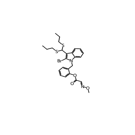 CCCSC(SCCC)c1c(Br)n(Cc2ccccc2OC(=O)C=NOC)c2ccccc12